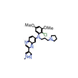 COc1cc(OC)c(Cl)c(N(CCCN2CCCC2)c2ccc3ncc(-c4cnn(C)c4)nc3c2)c1